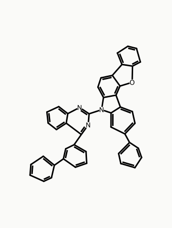 c1ccc(-c2cccc(-c3nc(-n4c5cc(-c6ccccc6)ccc5c5c6oc7ccccc7c6ccc54)nc4ccccc34)c2)cc1